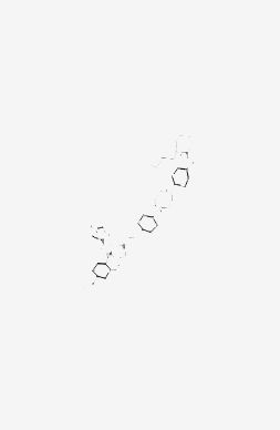 CCCCN1CCCSC1=Nc1ccc(N2CCN(c3ccc(OC[C@@H]4CO[C@@](Cn5cncn5)(c5ccc(Cl)cc5Cl)O4)cc3)CC2)cc1